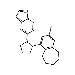 Fc1cc2c(c(C3CCCN3c3ccn4nccc4c3)c1)CCCCC2